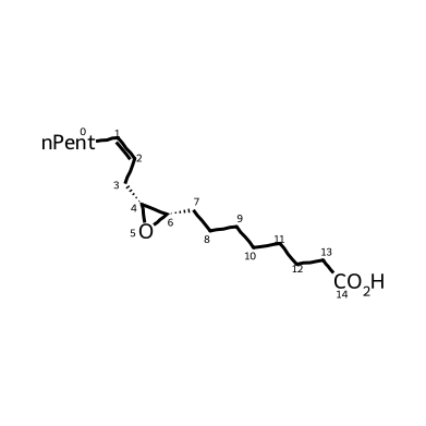 CCCCC/C=C\C[C@H]1O[C@H]1CCCCCCCC(=O)O